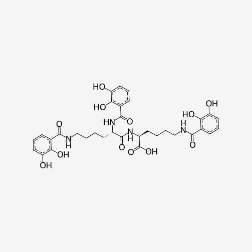 O=C(NCCCC[C@H](NC(=O)[C@H](CCCCNC(=O)c1cccc(O)c1O)NC(=O)c1cccc(O)c1O)C(=O)O)c1cccc(O)c1O